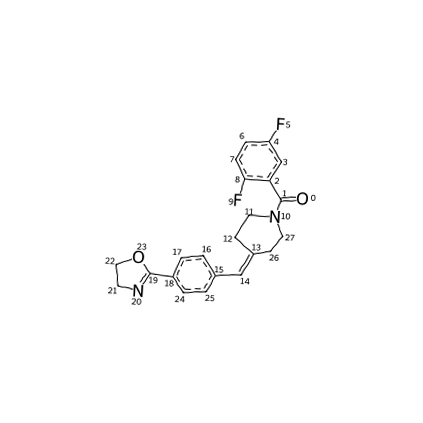 O=C(c1cc(F)ccc1F)N1CCC(=Cc2ccc(C3=NCCO3)cc2)CC1